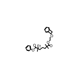 CCC(C)(CCCC(C)(C)C(=O)OCCOC1Cc2ccccc21)C(=O)Oc1ccccc1